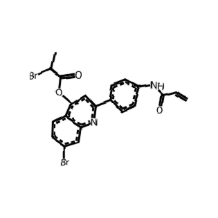 C=CC(=O)Nc1ccc(-c2cc(OC(=O)C(C)Br)c3ccc(Br)cc3n2)cc1